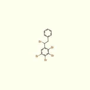 Brc1cc(C(Br)Cc2ccccc2)c(Br)c(Br)c1Br